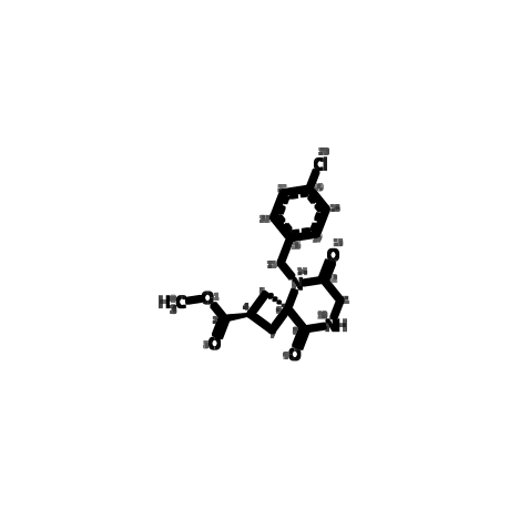 COC(=O)[C@H]1C[C@@]2(C1)C(=O)NCC(=O)N2Cc1ccc(Cl)cc1